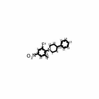 O=[N+]([O-])c1cc(F)c(N2CCC(c3ccccc3)CC2)c(F)c1